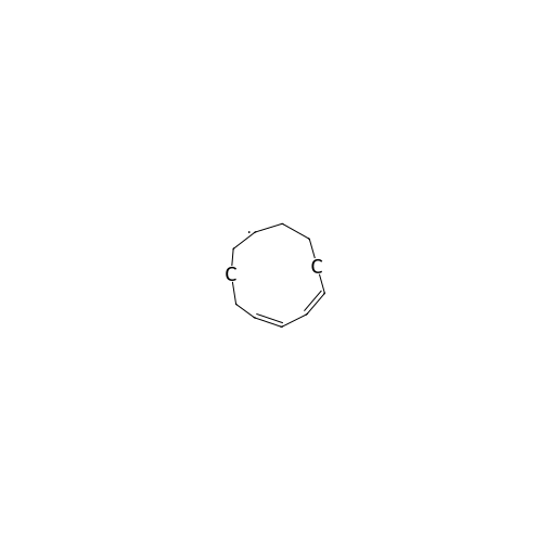 [CH]1CCC/C=C\C=C/CCC1